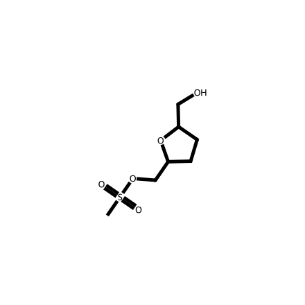 CS(=O)(=O)OCC1CCC(CO)O1